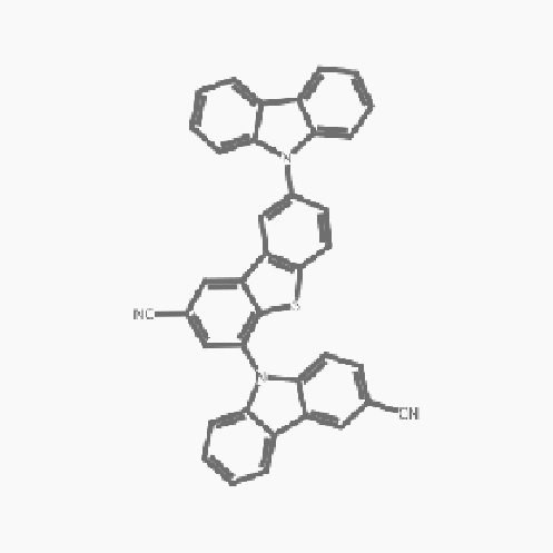 N#Cc1cc(-n2c3ccccc3c3cc(C#N)ccc32)c2sc3ccc(-n4c5ccccc5c5ccccc54)cc3c2c1